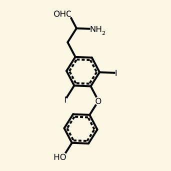 NC(C=O)Cc1cc(I)c(Oc2ccc(O)cc2)c(I)c1